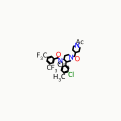 CC(=O)N1CCC(C(=O)N2CC[C@@H](N(C)C(=O)c3cc(C(F)(F)F)cc(C(F)(F)F)c3)[C@H](c3ccc(C)c(Cl)c3)C2)CC1